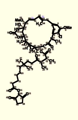 COc1cc2cc(c1Cl)N(C)C(=O)C[C@H](OC(=O)[C@H](C)N(C)C(=O)CCC(C)(C)SSCCCC(=O)ON1C(=O)CCC1=O)[C@]1(C)O[C@H]1C(C)(C)[C@@H]1C[C@@](O)(NC(=O)O1)[C@H](OC)/C=C/C=C(\C)C2